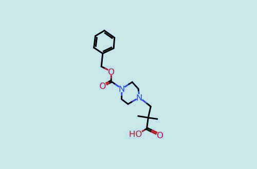 CC(C)(CN1CCN(C(=O)OCc2ccccc2)CC1)C(=O)O